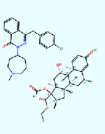 CCC(=O)O[C@]1(C(=O)SCF)[C@H](C)C[C@H]2[C@@H]3C[C@H](F)C4=CC(=O)C=C[C@]4(C)[C@@]3(F)[C@@H](O)C[C@@]21C.CN1CCCC(n2nc(Cc3ccc(Cl)cc3)c3ccccc3c2=O)CC1.Cl